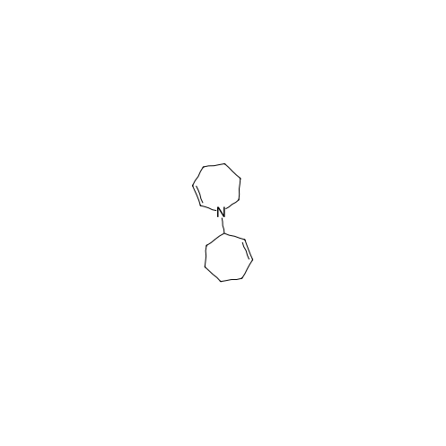 C1=CC(N2C=CCCCC2)CCCC1